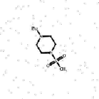 CCC(C)N1CCN(S(C)(=O)=O)CC1